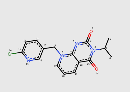 CC(C)n1c(=O)nc2n(Cc3ccc(Cl)nc3)cccc-2c1=O